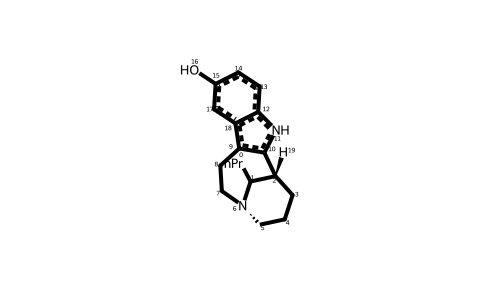 CCCC1[C@H]2CCC[N@]1CCc1c2[nH]c2ccc(O)cc12